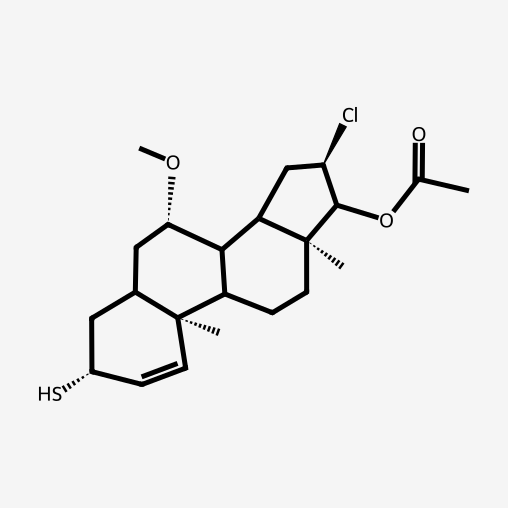 CO[C@H]1CC2C[C@@H](S)C=C[C@]2(C)C2CC[C@@]3(C)C(C[C@@H](Cl)C3OC(C)=O)C21